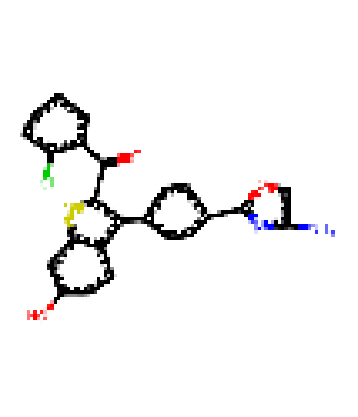 Nc1coc(-c2ccc(-c3c(C(=O)c4ccccc4Cl)sc4cc(O)ccc34)cc2)n1